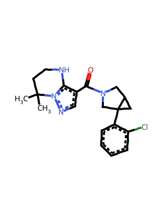 CC1(C)CCNc2c(C(=O)N3CC4CC4(c4ccccc4Cl)C3)cnn21